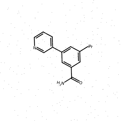 CC(C)c1cc(C(N)=O)cc(-c2cccnc2)c1